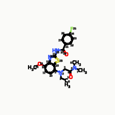 CCN(CC(=O)N(C)C)c1ccc(OC)c2nc(NC(=O)c3ccc(F)cc3)sc12